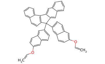 C=COc1ccc2cc(C3(c4ccc5cc(OC=C)ccc5c4)c4cc5ccccc5cc4-c4c3ccc3ccccc43)ccc2c1